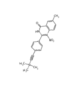 Cc1ccc2c([N+](=O)[O-])c(-c3ccc(C#C[Si](C)(C)C)cc3)[nH]c(=O)c2c1